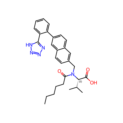 CCCCCC(=O)N(Cc1ccc2cc(-c3ccccc3-c3nnn[nH]3)ccc2c1)[C@H](C(=O)O)C(C)C